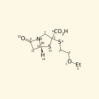 CCOCCSC1(C(=O)O)CN2C(=O)C[C@H]2S1